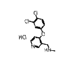 CNCc1cnccc1Oc1ccc(Cl)c(Cl)c1.Cl